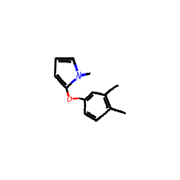 Cc1ccc(Oc2c[c]cn2C)cc1C